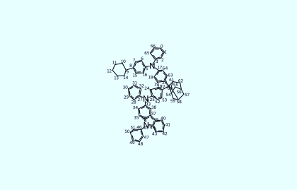 c1ccc(N(c2ccc(C3CCCCC3)cc2)c2ccc(C3(c4ccc(N(c5ccccc5)c5ccc6c(c5)c5ccccc5n6-c5ccccc5)cc4)C4CC5CC(C4)CC3C5)cc2)cc1